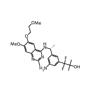 COCCOc1cc2c(N[C@H](C)c3cc(N)cc(C(F)(F)C(C)(C)O)c3)nc(C)nc2cc1OC